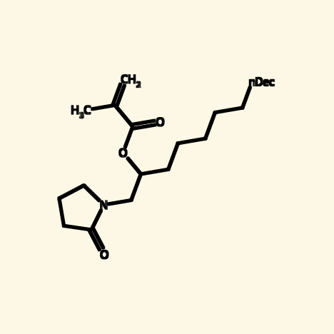 C=C(C)C(=O)OC(CCCCCCCCCCCCCCC)CN1CCCC1=O